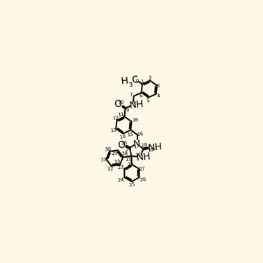 Cc1ccccc1CNC(=O)c1cccc(CN2C(=N)NC(c3ccccc3)(c3ccccc3)C2=O)c1